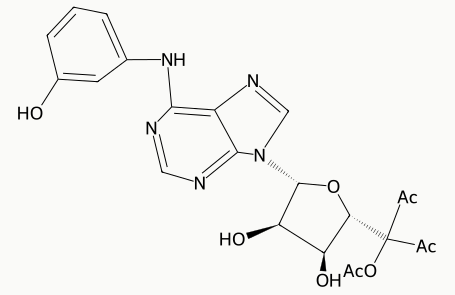 CC(=O)OC(C(C)=O)(C(C)=O)[C@H]1O[C@@H](n2cnc3c(Nc4cccc(O)c4)ncnc32)[C@H](O)[C@@H]1O